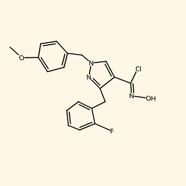 COc1ccc(Cn2cc(C(Cl)=NO)c(Cc3ccccc3F)n2)cc1